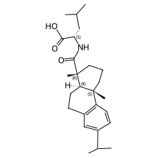 CC(C)C[C@H](NC(=O)[C@]1(C)CCC[C@]2(C)c3ccc(C(C)C)cc3CC[C@@H]12)C(=O)O